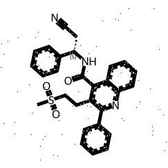 CS(=O)(=O)CCc1c(-c2ccccc2)nc2ccccc2c1C(=O)N[C@@H](CC#N)c1ccccc1